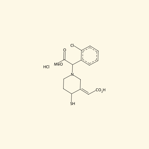 COC(=O)C(c1ccccc1Cl)N1CCC(S)C(=CC(=O)O)C1.Cl